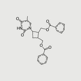 Cc1cn(C2CC(COC(=O)c3ccccc3)C2COC(=O)c2ccccc2)c(=O)[nH]c1=O